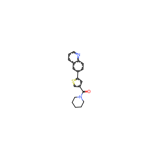 O=C(c1csc(-c2ccc3ncccc3c2)c1)N1CCCCC1